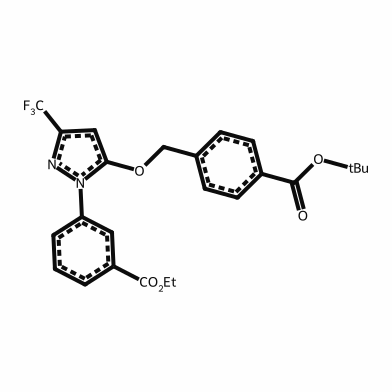 CCOC(=O)c1cccc(-n2nc(C(F)(F)F)cc2OCc2ccc(C(=O)OC(C)(C)C)cc2)c1